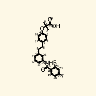 CC(C)(Oc1ccc(CCc2cccc(NC(=O)c3ccc(F)cc3F)c2)cc1)C(=O)O